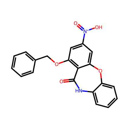 O=C1Nc2ccccc2Oc2cc([N+](=O)O)cc(OCc3ccccc3)c21